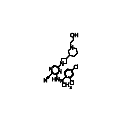 C[C@@H](Nc1nc(N2CC(C3CCCN(CCO)C3)C2)cnc1C#N)c1ccc(Cl)cc1Cl